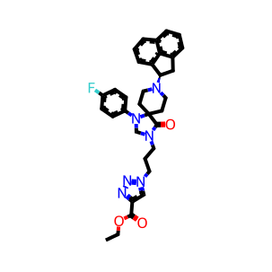 CCOC(=O)c1cn(CCCN2CN(c3ccc(F)cc3)C3(CCN([C@@H]4Cc5cccc6cccc4c56)CC3)C2=O)nn1